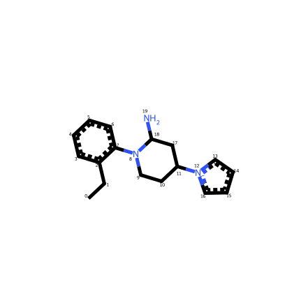 CCc1ccccc1N1CCC(n2cccc2)CC1N